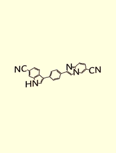 N#Cc1ccc2c(-c3ccc(-c4cn5cc(C#N)ccc5n4)cc3)c[nH]c2c1